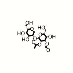 CC(=O)O[C@@H]1[C@@H](O[C@@H]2CO[C@@H](CO)[C@@H](O)[C@@H]2O)O[C@H](CO)[C@@H](O)[C@@H]1OC=O